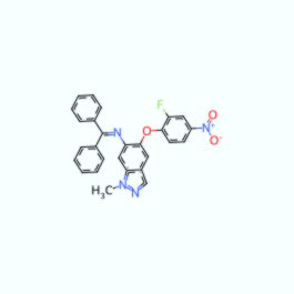 Cn1ncc2cc(Oc3ccc([N+](=O)[O-])cc3F)c(N=C(c3ccccc3)c3ccccc3)cc21